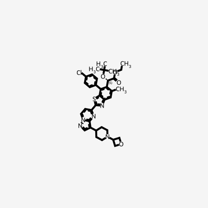 CCOC(=O)[C@@H](OC(C)(C)C)c1c(C)cc2nc(-c3ccn4ncc(C5CCN(C6COC6)CC5)c4n3)sc2c1-c1ccc(Cl)cc1